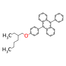 CCCCC(CC)COc1ccc(-c2c3ccccc3c(-c3ccccc3)c3ccccc23)cc1